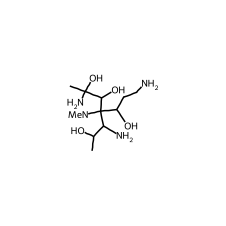 CNC(C(O)CCN)(C(N)C(C)O)C(O)C(C)(N)O